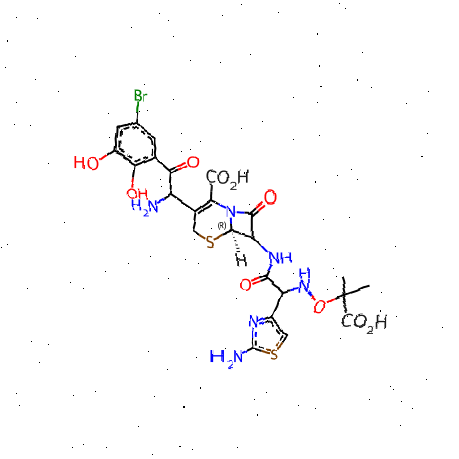 CC(C)(ONC(C(=O)NC1C(=O)N2C(C(=O)O)=C(C(N)C(=O)c3cc(Br)cc(O)c3O)CS[C@H]12)c1csc(N)n1)C(=O)O